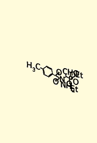 CCOP(=O)(OCC)C(C=O)N(N)S(=O)(=O)c1ccc(C)cc1